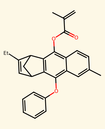 C=C(C)C(=O)Oc1c2c(c(Oc3ccccc3)c3cc(C)ccc13)C1C=C(CC)C2C1